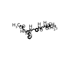 CCOC(=O)CCNc1cc(NCCc2cccc(NC(=O)CCNC(=O)OC(C)(C)C)c2)nc(-c2ccccn2)n1